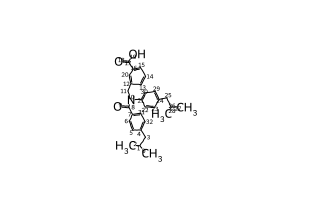 CC(C)Cc1ccc(C(=O)N(Cc2cccc(C(=O)O)c2)c2ccc(CC(C)C)cc2)cc1